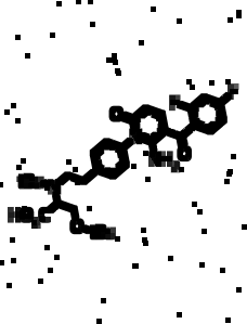 CC(C)(C)OCC(C(=O)O)N(CCc1ccc(-n2c(N)c(C(=O)c3ccc(F)cc3F)ccc2=O)cc1)C(C)(C)C